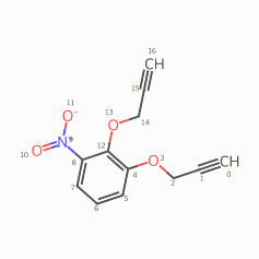 C#CCOc1cccc([N+](=O)[O-])c1OCC#C